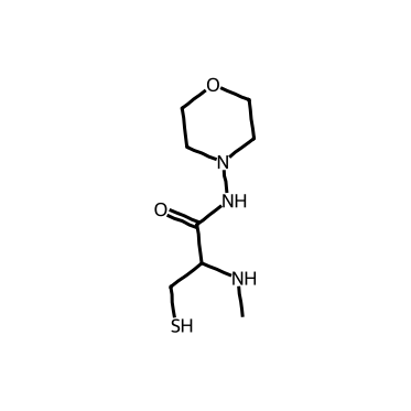 CNC(CS)C(=O)NN1CCOCC1